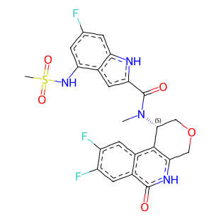 CN(C(=O)c1cc2c(NS(C)(=O)=O)cc(F)cc2[nH]1)[C@@H]1COCc2[nH]c(=O)c3cc(F)c(F)cc3c21